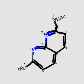 CC(=O)Nc1ccc2ccc(C(C)(C)C)nc2n1